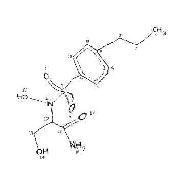 CCCc1ccc(S(=O)(=O)N(O)C(CO)C(N)=O)cc1